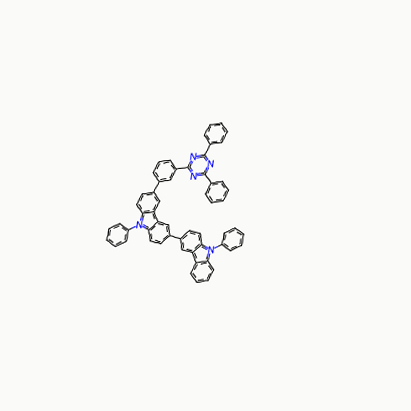 c1ccc(-c2nc(-c3ccccc3)nc(-c3cccc(-c4ccc5c(c4)c4cc(-c6ccc7c(c6)c6ccccc6n7-c6ccccc6)ccc4n5-c4ccccc4)c3)n2)cc1